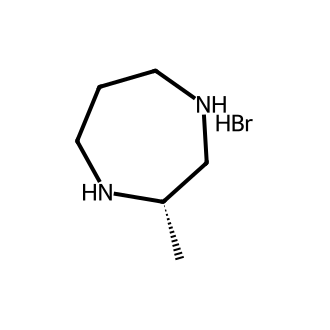 Br.C[C@H]1CNCCCN1